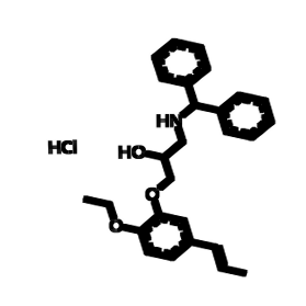 CC=Cc1ccc(OCC)c(OCC(O)CNC(c2ccccc2)c2ccccc2)c1.Cl